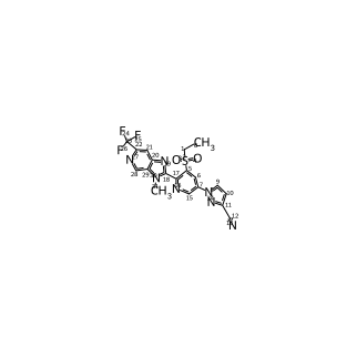 CCS(=O)(=O)c1cc(-n2ccc(C#N)n2)cnc1-c1nc2cc(C(F)(F)F)ncc2n1C